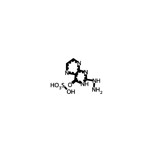 NNc1nc2nccnc2c(=O)[nH]1.O=S(=O)(O)O